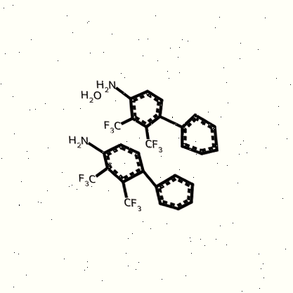 Nc1ccc(-c2ccccc2)c(C(F)(F)F)c1C(F)(F)F.Nc1ccc(-c2ccccc2)c(C(F)(F)F)c1C(F)(F)F.O